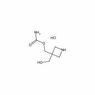 Cl.NC(=O)OCC1(CO)CNC1